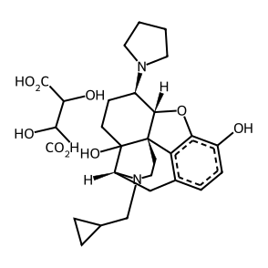 O=C(O)C(O)C(O)C(=O)O.Oc1ccc2c3c1O[C@H]1[C@H](N4CCCC4)CCC4(O)[C@@H](C2)N(CC2CC2)CC[C@]314